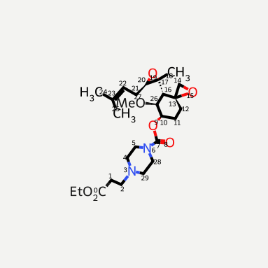 CCOC(=O)CCN1CCN(C(=O)O[C@@H]2CC[C@]3(CO3)[C@@H](C3(C)O[C@@H]3CC=C(C)C)[C@@H]2OC)CC1